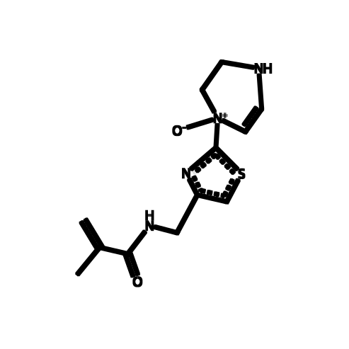 C=C(C)C(=O)NCc1csc([N+]2([O-])C=CNCC2)n1